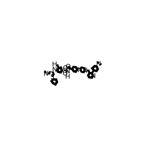 Cc1cc(S(=O)(=O)NC(=O)c2ccc(N3CCN(Cc4cccnc4-c4ccc(N(C)C)cc4)CC3)cc2)ccc1N[C@H](CCN(C)C)CSc1ccccc1